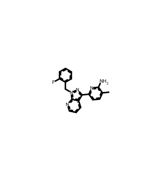 Cc1ccc(-c2nn(Cc3ccccc3F)c3ncccc23)nc1N